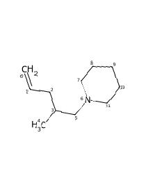 C=CCC(C)CN1CCCCC1